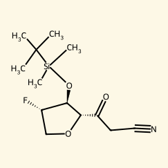 CC(C)(C)[Si](C)(C)O[C@@H]1[C@@H](F)CO[C@H]1C(=O)CC#N